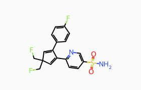 NS(=O)(=O)c1ccc(C2=CC(CF)(CF)C=C2c2ccc(F)cc2)nc1